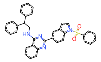 O=S(=O)(c1ccccc1)n1ccc2cc(-c3nc(NCC(c4ccccc4)c4ccccc4)c4ccccc4n3)ccc21